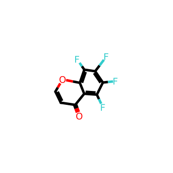 O=c1ccoc2c(F)c(F)c(F)c(F)c12